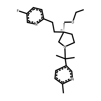 CCOC[C@]1(CCc2ccc(F)cn2)CCN(C(C)(C)c2ccc(C)nc2)C1